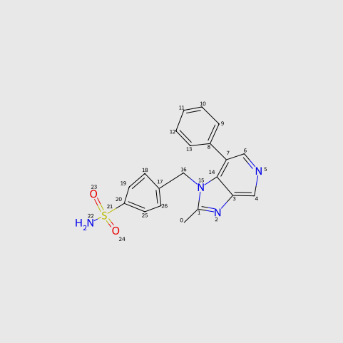 Cc1nc2cncc(-c3ccccc3)c2n1Cc1ccc(S(N)(=O)=O)cc1